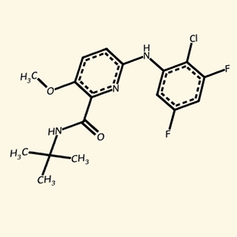 COc1ccc(Nc2cc(F)cc(F)c2Cl)nc1C(=O)NC(C)(C)C